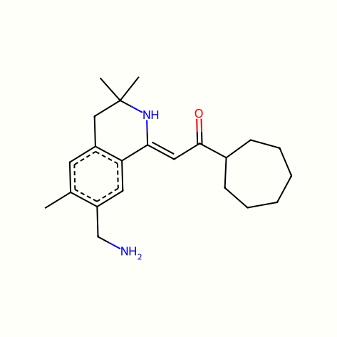 Cc1cc2c(cc1CN)C(=CC(=O)C1CCCCCC1)NC(C)(C)C2